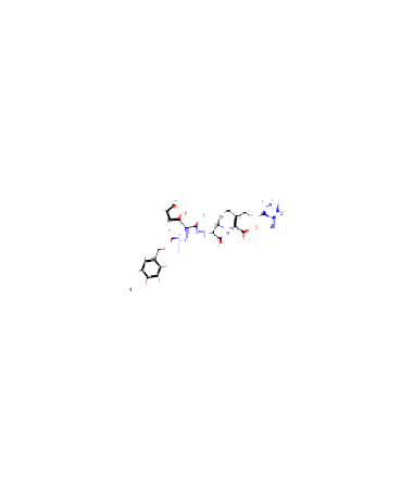 COc1ccc(COC(=O)NC(C(=O)N[C@H]2C(=O)N3C(C(=O)O)=C(CSc4nnnn4C)CSC23)c2ccco2)cc1